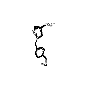 CCOC(=O)c1cnn(Cc2ccc(COC)cc2)c1